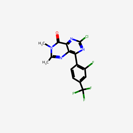 Cc1nc2c(-c3ccc(C(F)(F)F)cc3F)nc(Cl)nc2c(=O)n1C